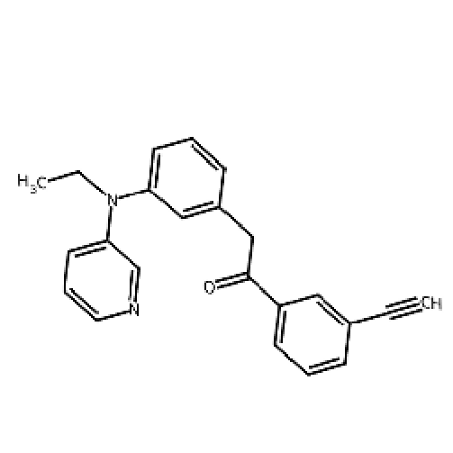 C#Cc1cccc(C(=O)Cc2cccc(N(CC)c3cccnc3)c2)c1